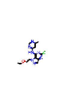 CCOCCn1ncc2nc(Cl)nc(Nc3cc(C)ncn3)c21